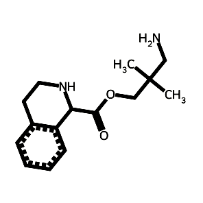 CC(C)(CN)COC(=O)C1NCCc2ccccc21